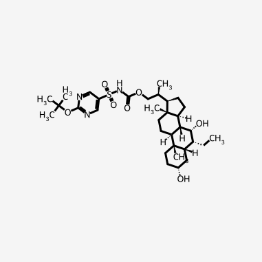 CC[C@H]1[C@@H](O)[C@@H]2[C@H](CC[C@]3(C)[C@@H]([C@H](C)COC(=O)NS(=O)(=O)c4cnc(OC(C)(C)C)nc4)CC[C@@H]23)[C@@]2(C)CC[C@@H](O)C[C@@H]12